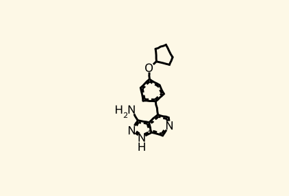 Nc1n[nH]c2cncc(-c3ccc(OC4CCCC4)cc3)c12